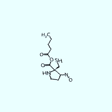 CCCCC(=O)OC(=O)[C@@]1(CS)NCCC1N=O